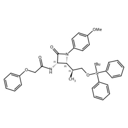 COc1ccc(N2C(=O)[C@@H](NC(=O)COc3ccccc3)[C@H]2[C@H](C)CO[Si](c2ccccc2)(c2ccccc2)C(C)(C)C)cc1